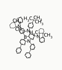 CC(C)(C)c1ccc(N2c3cc(N4c5ccccc5C5(C)CCCCC45C)ccc3B3c4ccc(-c5ccccc5)cc4N(c4cccc(-c5ccccc5)c4)c4cc(N5c6ccccc6C6(C)CCCCC56C)cc2c43)cc1